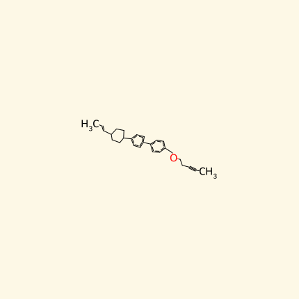 CC#CCCOCc1ccc(-c2ccc(C3CCC(C=CC)CC3)cc2)cc1